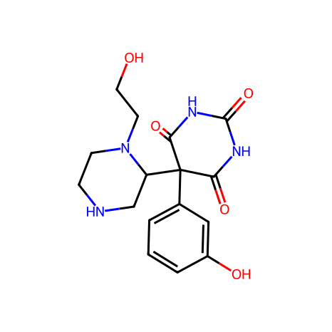 O=C1NC(=O)C(c2cccc(O)c2)(C2CNCCN2CCO)C(=O)N1